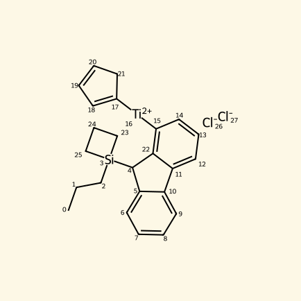 CCC[Si]1(C2c3ccccc3-c3ccc[c]([Ti+2][C]4=CC=CC4)c32)CCC1.[Cl-].[Cl-]